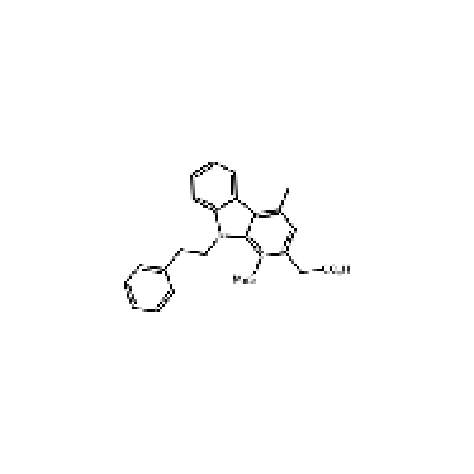 CSc1c(CC(=O)O)cc(C)c2c3ccccc3n(CCc3ccccc3)c12